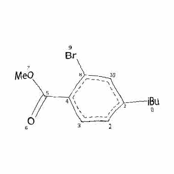 CCC(C)c1ccc(C(=O)OC)c(Br)c1